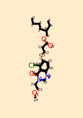 CCCCC(CC)COC(=O)CCSc1ccc2ncn(CCOC)c(=O)c2c1Cl